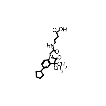 CC1(C)C(=O)N(CC(=O)NCCCC(=O)O)c2ccc(C3CCCC3)cc21